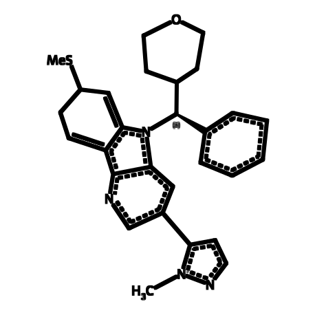 CSC1C=c2c(c3ncc(-c4ccnn4C)cc3n2[C@H](c2ccccc2)C2CCOCC2)=CC1